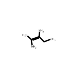 CCC(N)=C(C)N